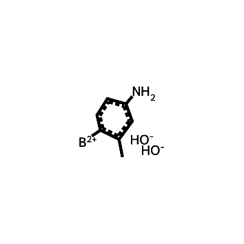 [B+2]c1ccc(N)cc1C.[OH-].[OH-]